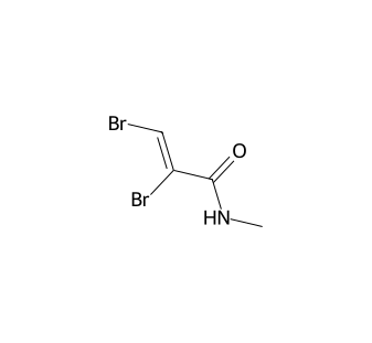 CNC(=O)C(Br)=CBr